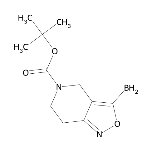 Bc1onc2c1CN(C(=O)OC(C)(C)C)CC2